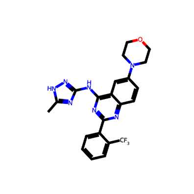 Cc1nc(Nc2nc(-c3ccccc3C(F)(F)F)nc3ccc(N4CCOCC4)cc23)n[nH]1